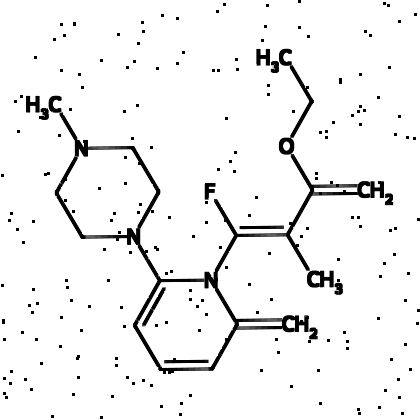 C=C(OCC)/C(C)=C(\F)N1C(=C)C=CC=C1N1CCN(C)CC1